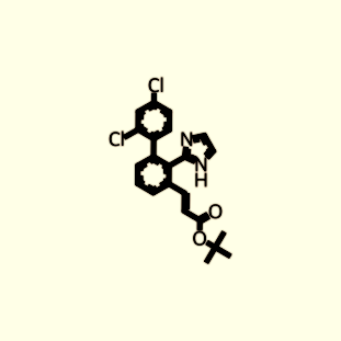 CC(C)(C)OC(=O)C=Cc1cccc(-c2ccc(Cl)cc2Cl)c1-c1ncc[nH]1